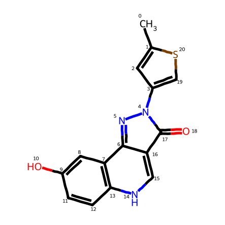 Cc1cc(-n2nc3c4cc(O)ccc4[nH]cc-3c2=O)cs1